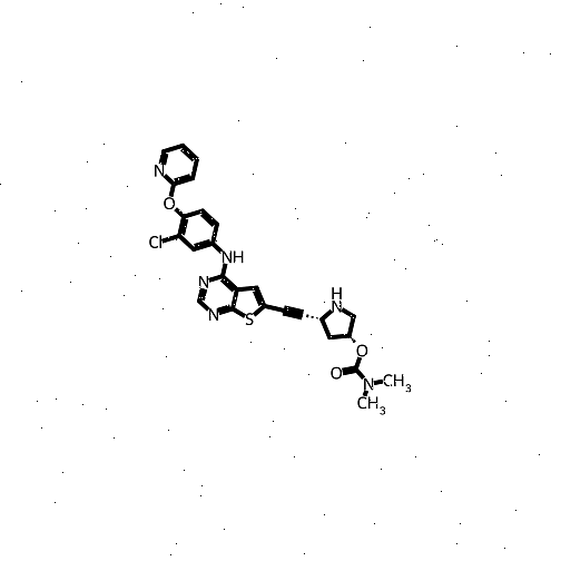 CN(C)C(=O)O[C@H]1CN[C@@H](C#Cc2cc3c(Nc4ccc(Oc5ccccn5)c(Cl)c4)ncnc3s2)C1